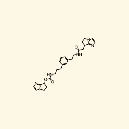 O=C(CC1CCn2ccnc21)NCCc1cccc(CCCNC(=O)O[C@@H]2CCn3ccnc32)c1